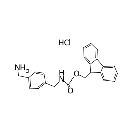 Cl.NCc1ccc(CNC(=O)OCC2c3ccccc3-c3ccccc32)cc1